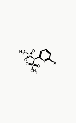 CS(=O)(=O)N(c1cccc(Br)n1)S(C)(=O)=O